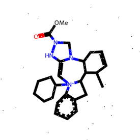 COC(=O)N1CN2C(=C[N+]3(C4CCCCC4)c4ccccc4CC3C3C(C)C=CCC32)N1